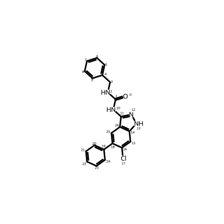 O=C(NCc1ccccc1)Nc1n[nH]c2cc(Cl)c(-c3ccccc3)cc12